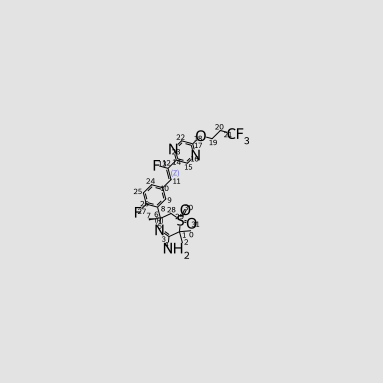 CC1(C)C(N)=N[C@](C)(c2cc(/C=C(\F)c3cnc(OCCC(F)(F)F)cn3)ccc2F)CS1(=O)=O